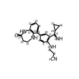 N#CCCNc1ccc(-c2cccc3c2NCCC(=O)N3)cc1C(=N)C1CC1